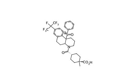 C[C@]1(C(=O)O)CC[C@H](C(=O)N2CCCC3(S(=O)(=O)c4ccccc4)c4ccc(C(F)(C(F)(F)F)C(F)(F)F)cc4CCC23)CC1